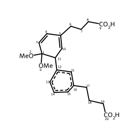 COC1(OC)C=CC(CCCC(=O)O)=CC1c1cccc(CCCC(=O)O)c1